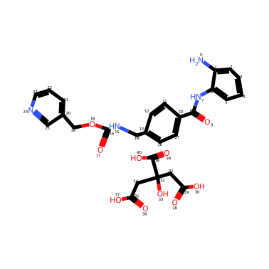 Nc1ccccc1NC(=O)c1ccc(CNC(=O)OCc2cccnc2)cc1.O=C(O)CC(O)(CC(=O)O)C(=O)O